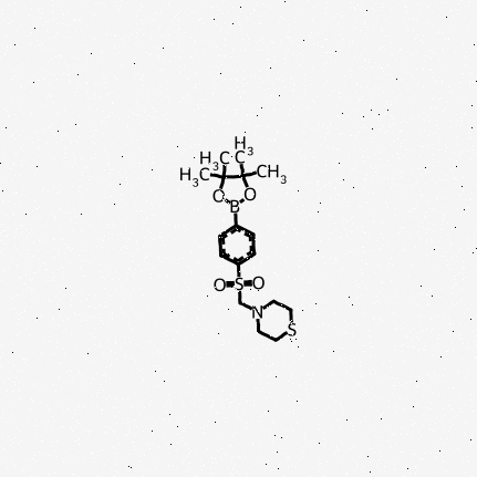 CC1(C)OB(c2ccc(S(=O)(=O)CN3CCSCC3)cc2)OC1(C)C